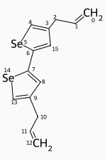 C=CCc1c[se]c(-c2cc(CC=C)c[se]2)c1